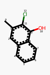 Cc1cc2ccccc2c(O)c1Cl